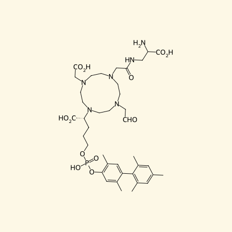 Cc1cc(C)c(-c2cc(C)c(OP(=O)(O)OCCC[C@H](C(=O)O)N3CCN(CC=O)CCN(CC(=O)NCC(N)C(=O)O)CCN(CC(=O)O)CC3)cc2C)c(C)c1